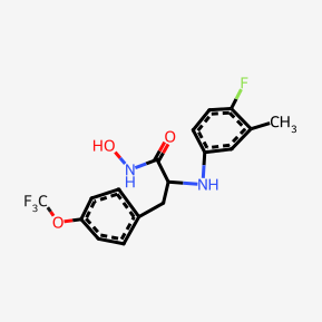 Cc1cc(NC(Cc2ccc(OC(F)(F)F)cc2)C(=O)NO)ccc1F